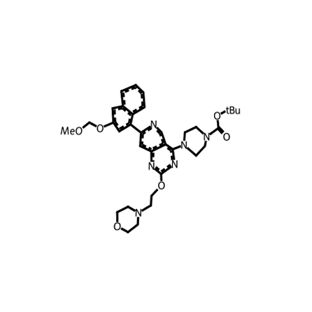 COCOc1cc(-c2cc3nc(OCCN4CCOCC4)nc(N4CCN(C(=O)OC(C)(C)C)CC4)c3cn2)c2ccccc2c1